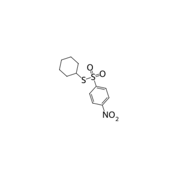 O=[N+]([O-])c1ccc(S(=O)(=O)SC2CCCCC2)cc1